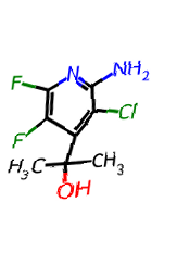 CC(C)(O)c1c(F)c(F)nc(N)c1Cl